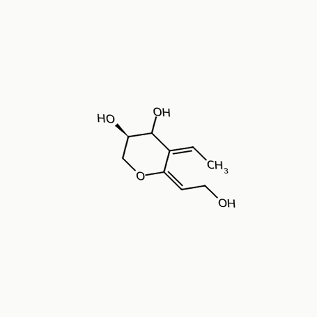 C/C=C1\C(=C/CO)OC[C@@H](O)C1O